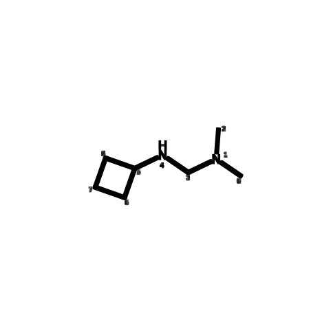 CN(C)CNC1CCC1